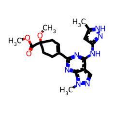 COC(=O)C1(OC)CC=C(c2nc(Nc3cc(C)[nH]n3)c3cnn(C)c3n2)CC1